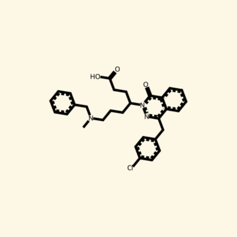 CN(CCCC(CCC(=O)O)n1nc(Cc2ccc(Cl)cc2)c2ccccc2c1=O)Cc1ccccc1